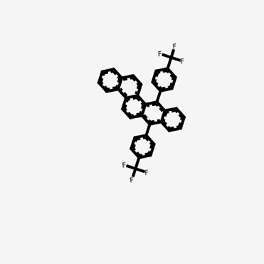 FC(F)(F)c1ccc(-c2c3ccccc3c(-c3ccc(C(F)(F)F)cc3)c3c2ccc2c4ccccc4ccc23)cc1